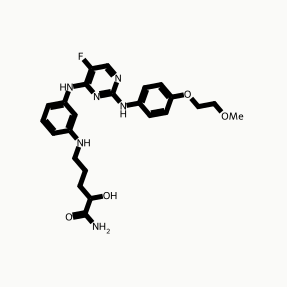 COCCOc1ccc(Nc2ncc(F)c(Nc3cccc(NCCCC(O)C(N)=O)c3)n2)cc1